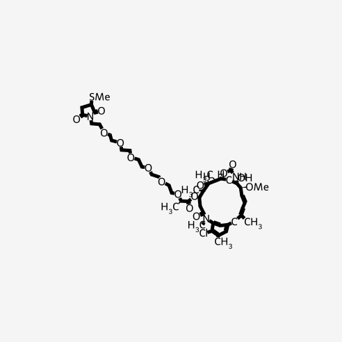 CO[C@@H]1/C=C/C=C(\C)Cc2cc(C)c(Cl)c(c2)N(C)C(=O)C[C@H](OC(=O)[C@H](C)OCCOCCOCCOCCOCCOCCN2C(=O)CC(SC)C2=O)[C@]2(C)O[C@H]2[C@H](C)[C@@H]2C[C@@]1(O)NC(=O)O2